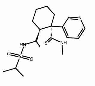 CNC(=S)[C@@]1(c2cccnc2)CCCC[C@@H]1C(C)NS(=O)(=O)C(C)C